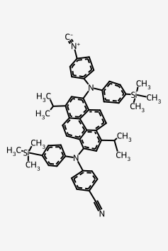 [C-]#[N+]c1ccc(N(c2ccc([Si](C)(C)C)cc2)c2cc(C(C)C)c3ccc4c(N(c5ccc(C#N)cc5)c5ccc([Si](C)(C)C)cc5)cc(C(C)C)c5ccc2c3c54)cc1